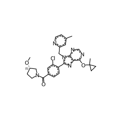 CO[C@H]1CCN(C(=O)c2ccc(-c3nc4c(OC5(C)CC5)ncnc4n3Cc3cc(C)ccn3)c(Cl)c2)C1